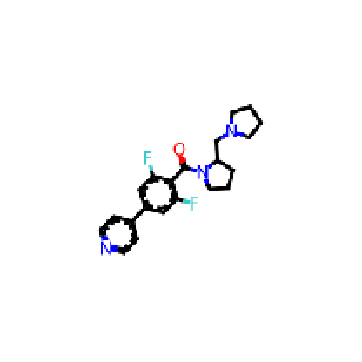 O=C(c1c(F)cc(-c2ccncc2)cc1F)N1CCCC1CN1CCCC1